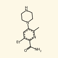 CCc1cc(N2CCNCC2)c(C)nc1C(N)=O